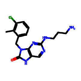 Cc1c(Cl)cccc1Cn1c(=O)[nH]c2cnc(NCCCN)nc21